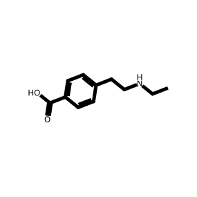 CCNCCc1ccc(C(=O)O)cc1